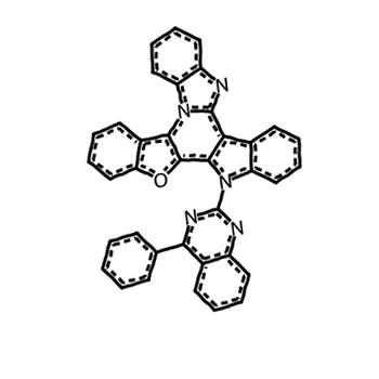 c1ccc(-c2nc(-n3c4ccccc4c4c3c3oc5ccccc5c3n3c5ccccc5nc43)nc3ccccc23)cc1